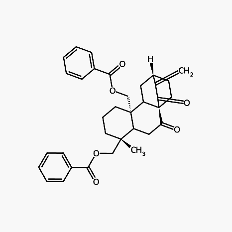 C=C1C(=O)[C@]23CC[C@H]1CC2[C@]1(COC(=O)c2ccccc2)CCC[C@@](C)(COC(=O)c2ccccc2)C1CC3=O